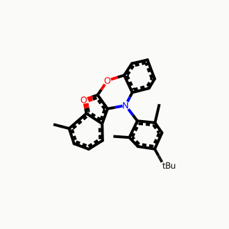 Cc1cc(C(C)(C)C)cc(C)c1N1c2ccccc2Oc2oc3c(C)cccc3c21